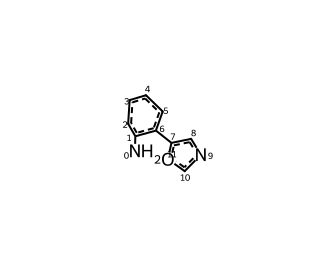 Nc1ccccc1-c1cnco1